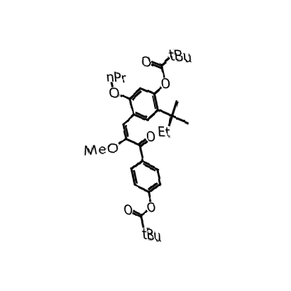 CCCOc1cc(OC(=O)C(C)(C)C)c(C(C)(C)CC)cc1C=C(OC)C(=O)c1ccc(OC(=O)C(C)(C)C)cc1